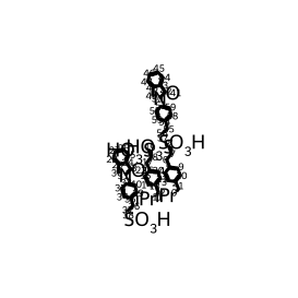 CC(C)Cc1ccc(CCS(=O)(=O)O)cc1.CC(C)Cc1ccc(CCS(=O)(=O)O)cc1.O=C1c2ccccc2CN1c1ccc(CCS(=O)(=O)O)cc1.O=C1c2ccccc2CN1c1ccc(CCS(=O)(=O)O)cc1